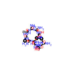 CC[C@H](C)[C@@H]1NC(=O)[C@@H](Cc2ccccc2)NC(=O)[C@H](CCN)NC(=O)[C@@H](NC(=O)[C@@H](CN)NC(=O)[C@@H](NC(=O)[C@H](CCN)NC(=O)c2ccnc(-c3ccccc3)c2)[C@@H](C)O)CCNC(=O)[C@H]([C@@H](C)O)NC(=O)[C@H](CCN)NC(=O)[C@H](CCN)NC1=O